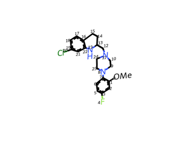 COc1cc(F)ccc1N1CCN(CC2CCc3ccc(Cl)cc3N2)CC1